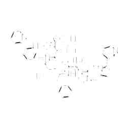 CN(C(=O)O)[C@H](C(=O)N[C@@H](Cc1ccc(-c2ccccn2)cc1)[C@@H](O)C[C@H](Cc1ccccc1)NC(=O)[C@@H](N1CCN(Cc2csc(-c3cccnc3)n2)C1=O)C(C)(C)C)C(C)(C)C